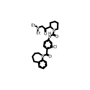 CCN(CC)CC(=O)C1CCCCN1C(=O)Nc1ccc(C(=O)N2CCCCc3ccccc32)cc1.Cl